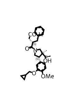 COc1ccc([C@@H]2CN(C(=O)[C@H](CC(=O)O)Cc3ccccc3)C[C@@]2(C)[C@@H](C)O)cc1OCC1CC1